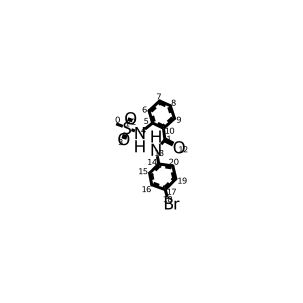 CS(=O)(=O)Nc1ccccc1C(=O)Nc1ccc(Br)cc1